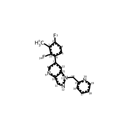 Cc1c(F)ccc(-c2cnc3cnn(Cc4ccccn4)c3c2)c1F